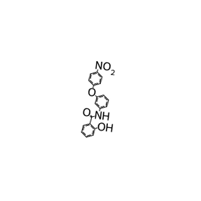 O=C(Nc1cccc(Oc2ccc([N+](=O)[O-])cc2)c1)c1ccccc1O